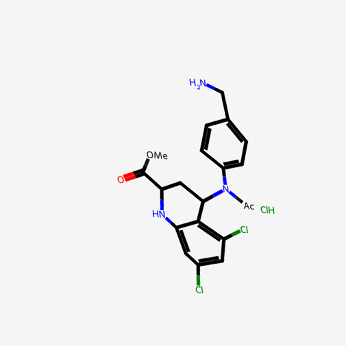 COC(=O)C1CC(N(C(C)=O)c2ccc(CN)cc2)c2c(Cl)cc(Cl)cc2N1.Cl